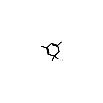 OC1(F)C=C(F)C=C(F)C1